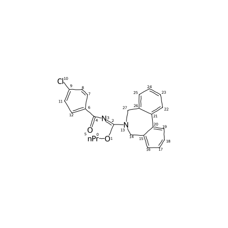 CCCOC(=NC(=O)c1ccc(Cl)cc1)N1Cc2ccccc2-c2ccccc2C1